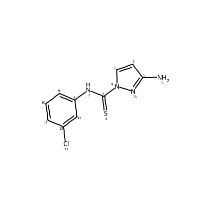 Nc1ccn(C(=S)Nc2cccc(Cl)c2)n1